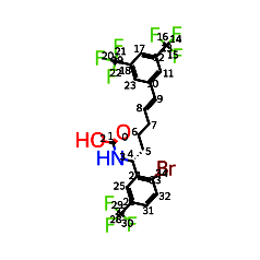 O=C(O)N[C@H](CCC/C=C/c1cc(C(F)(F)F)cc(C(F)(F)F)c1)c1cc(C(F)(F)F)ccc1Br